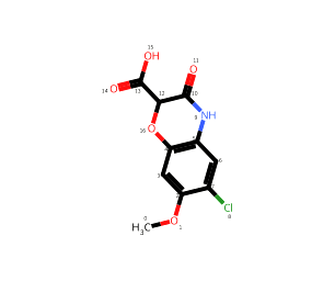 COc1cc2c(cc1Cl)NC(=O)C(C(=O)O)O2